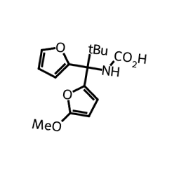 COc1ccc(C(NC(=O)O)(c2ccco2)C(C)(C)C)o1